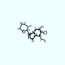 CCc1c(Cl)c(C)cc2c1cnn2C1CCCCO1